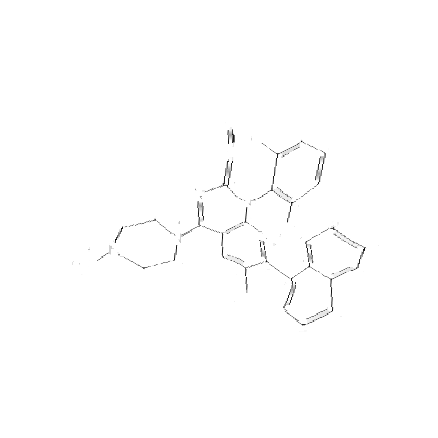 Cc1cccc(C(C)C)c1N1C(=C=O)N=C(N2CCN(C(=O)O)CC2)c2cc(F)c(-c3cccc4ccccc34)nc21